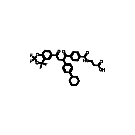 O=C(O)CCNC(=O)c1ccc(C(=O)C(CC(=O)c2ccc3c(c2)C(F)(F)OC(F)(F)O3)c2ccc(C3CCCCC3)cc2)cc1